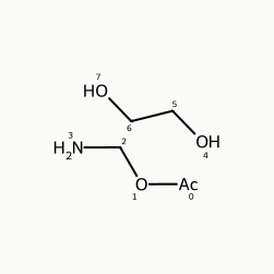 CC(=O)OCN.OCCO